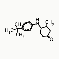 CC1CC(=O)CCC1Nc1ccc(C(C)(C)C)cc1